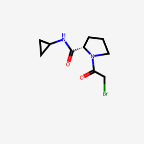 O=C(NC1CC1)[C@@H]1CCCN1C(=O)CBr